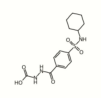 O=C(O)NNC(=O)c1ccc(S(=O)(=O)NC2CCCCC2)cc1